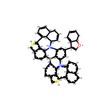 C1=CCC2OC=C(c3cc4c5c(c3)-n3c6cccc7cccc(c8scc9ccc(c3c98)B5c3ccc5csc8c5c3N4C3C=CCC4C=CC=C8C43)c76)C2=C1